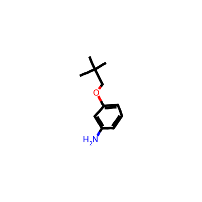 CC(C)(C)COc1cccc(N)c1